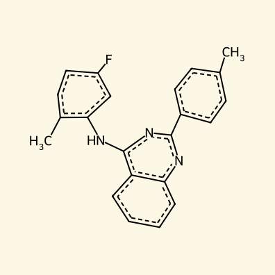 Cc1ccc(-c2nc(Nc3cc(F)ccc3C)c3ccccc3n2)cc1